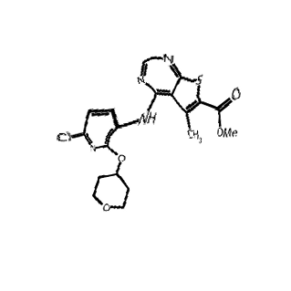 COC(=O)c1sc2ncnc(Nc3ccc(Cl)nc3OC3CCOCC3)c2c1C